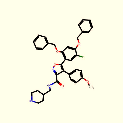 COc1ccc(-c2c(C(=O)NCC3CCNCC3)noc2-c2cc(Cl)c(OCc3ccccc3)cc2OCc2ccccc2)cc1